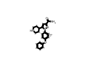 Cl.NC(=O)c1cc(C2CCNCC2)n(-c2ccc(Oc3ccccc3)cc2)n1